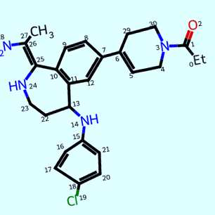 CCC(=O)N1CC=C(c2ccc3c(c2)C(Nc2ccc(Cl)cc2)CCN/C3=C(/C)N)CC1